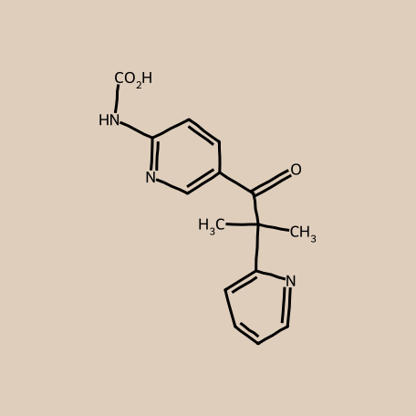 CC(C)(C(=O)c1ccc(NC(=O)O)nc1)c1ccccn1